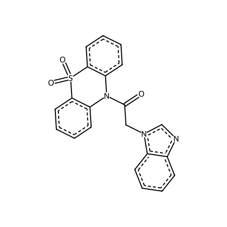 O=C(Cn1cnc2ccccc21)N1c2ccccc2S(=O)(=O)c2ccccc21